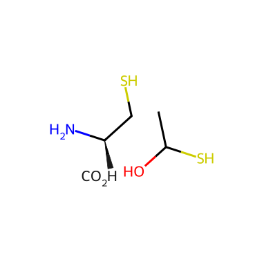 CC(O)S.N[C@@H](CS)C(=O)O